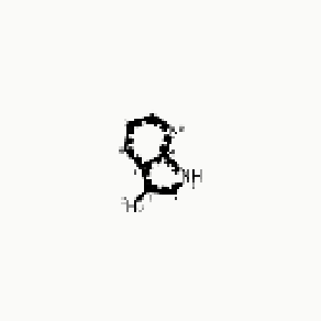 [2H]c1c[nH]c2ncccc12